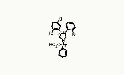 C[C@](C(=O)O)(c1ccccc1)N1C[C@H](c2cc(Cl)ccc2O)[C@@H](c2ccccc2Br)C1